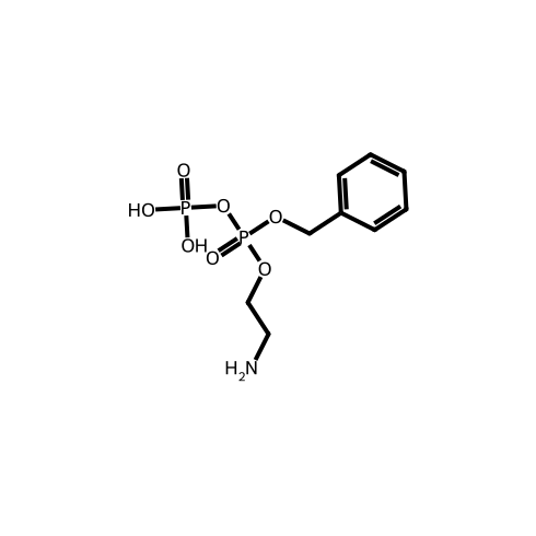 NCCOP(=O)(OCc1ccccc1)OP(=O)(O)O